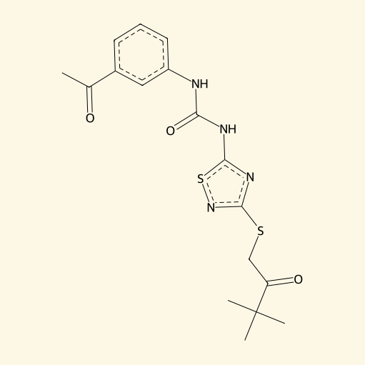 CC(=O)c1cccc(NC(=O)Nc2nc(SCC(=O)C(C)(C)C)ns2)c1